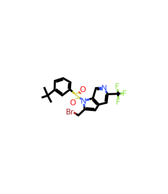 CC(C)(C)c1cccc(S(=O)(=O)n2c(CBr)cc3cc(C(F)(F)F)ncc32)c1